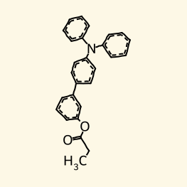 CCC(=O)Oc1cccc(-c2ccc(N(c3ccccc3)c3ccccc3)cc2)c1